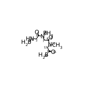 BNCC(=O)N(B)CC(=O)N(C)CC(B)=O